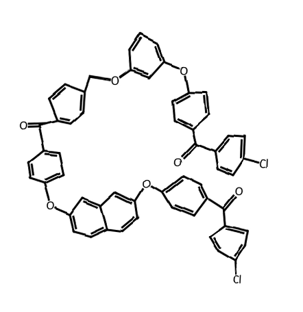 O=C(c1ccc(Cl)cc1)c1ccc(Oc2cccc(OCc3ccc(C(=O)c4ccc(Oc5ccc6ccc(Oc7ccc(C(=O)c8ccc(Cl)cc8)cc7)cc6c5)cc4)cc3)c2)cc1